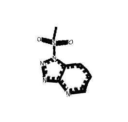 CS(=O)(=O)n1nnc2ncccc21